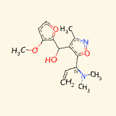 C=C[C@@H](c1onc(C)c1C(O)c1occc1OC)N(C)C